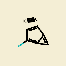 C#C.Fc1ccc2cc1-2